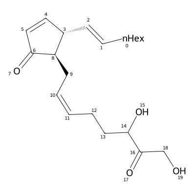 CCCCCC/C=C/[C@H]1C=CC(=O)[C@@H]1C/C=C\CCC(O)C(=O)CO